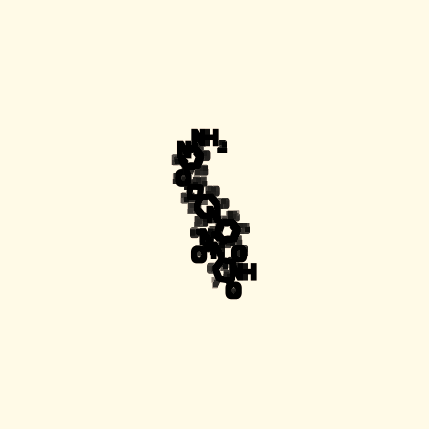 Cn1c(=O)n(C2CCC(=O)NC2=O)c2cccc(N3CCC4(CC3)CC(Oc3ccc(N)nc3)C4)c21